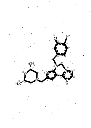 C[C@@H]1CN(Cc2cc3c(s2)N(Cc2ccc(F)c(Cl)c2)Cn2ncnc2-3)C[C@H](C)O1